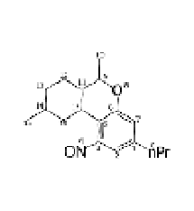 CCCc1cc(N=O)c2c(c1)OC(C)C1CCC(C)CC21